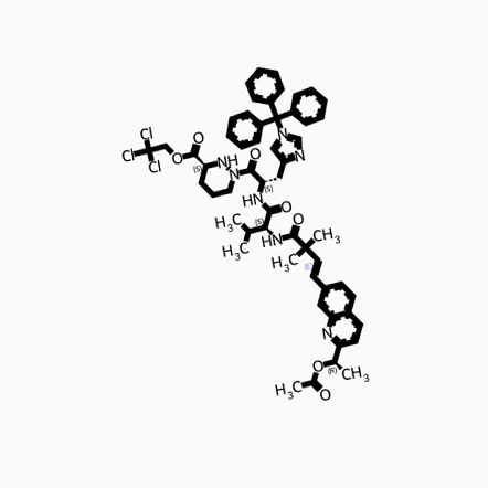 CC(=O)O[C@H](C)c1ccc2ccc(/C=C/C(C)(C)C(=O)N[C@H](C(=O)N[C@@H](Cc3cn(C(c4ccccc4)(c4ccccc4)c4ccccc4)cn3)C(=O)N3CCC[C@@H](C(=O)OCC(Cl)(Cl)Cl)N3)C(C)C)cc2n1